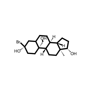 C[C@]12CC[C@H]3[C@@H](CCC4C[C@](O)(Br)CC[C@@]43CO)[C@@H]1CC[C@@H]2O